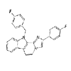 Fc1ccc(Cn2c3ccccc3c3ccn4cc(-c5ccc(F)cc5)nc4c32)cc1